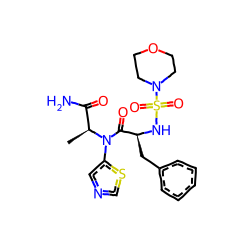 C[C@@H](C(N)=O)N(C(=O)[C@H](Cc1ccccc1)NS(=O)(=O)N1CCOCC1)c1cncs1